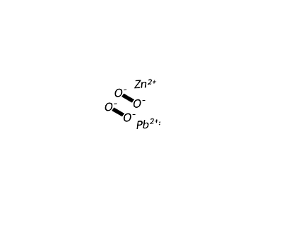 [O-][O-].[O-][O-].[Pb+2].[Zn+2]